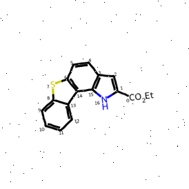 CCOC(=O)c1cc2ccc3sc4ccccc4c3c2[nH]1